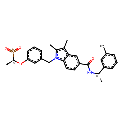 Cc1c(C)n(Cc2cccc(O[C@@H](C)[SH](=O)=O)c2)c2ccc(C(=O)N[C@@H](C)c3cccc(C(C)C)c3)cc12